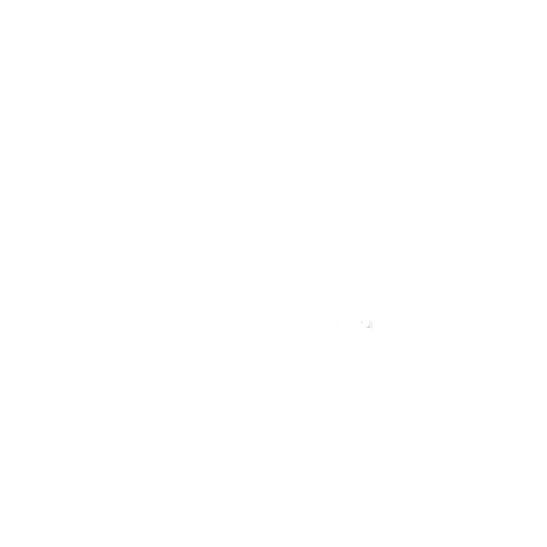 O=C1Nc2ccccc2SC1c1ccc(OC2CCCCO2)cc1